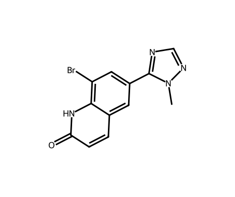 Cn1ncnc1-c1cc(Br)c2[nH]c(=O)ccc2c1